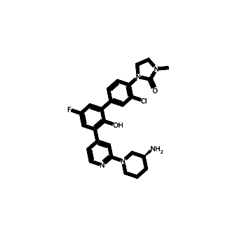 CN1CCN(c2ccc(-c3cc(F)cc(-c4ccnc(N5CCC[C@H](N)C5)c4)c3O)cc2Cl)C1=O